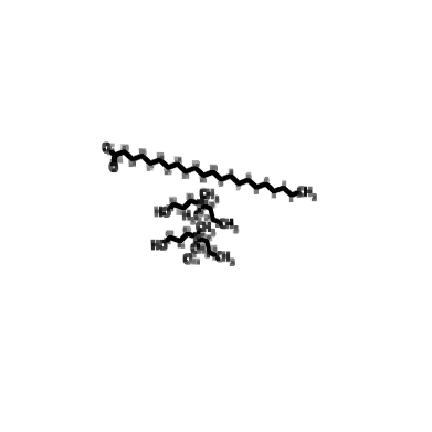 CCCCCCCCCCCCCCCCCCCCCC(=O)[O-].CCC[N+](C)(C)CCCO.CCC[N+](C)(C)CCCO.[Cl-]